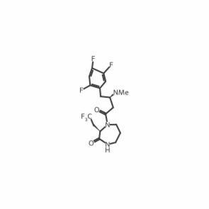 CN[C@@H](CC(=O)N1CCCNC(=O)[C@H]1CC(F)(F)F)Cc1cc(F)c(F)cc1F